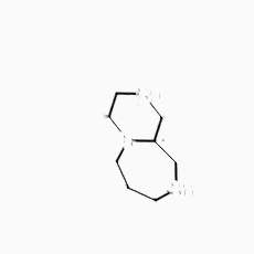 C1CNCC2CNCCN2C1